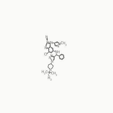 Cn1cc(Nc2c(C#N)cnc3c(Cl)cc(N[C@@H](c4ccccc4)c4cn(C5CCN(C(C)(C)C)CC5)nn4)cc23)cn1